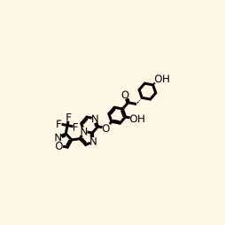 O=C(C[C@H]1CC[C@H](O)CC1)c1ccc(Oc2nccn3c(-c4conc4C(F)(F)F)cnc23)cc1O